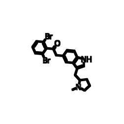 CN1CCCC1Cc1c[nH]c2ccc(CC(=O)c3c(Br)cccc3Br)cc12